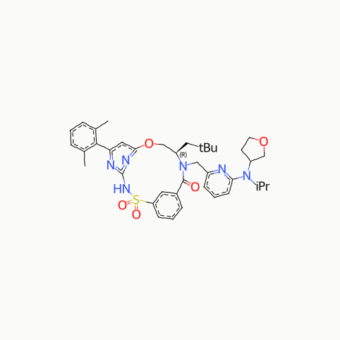 Cc1cccc(C)c1-c1cc2nc(n1)NS(=O)(=O)c1cccc(c1)C(=O)N(Cc1cccc(N(C(C)C)C3CCOC3)n1)[C@H](CC(C)(C)C)CO2